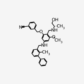 COc1cc(NCc2cccc(-c3ccccc3)c2C)cc(OCc2cccc(C#N)c2)c1CN[C@@H](C)CO